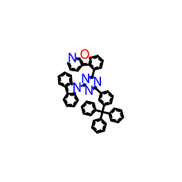 c1ccc(C(c2ccccc2)(c2ccccc2)c2cccc(-c3nc(-c4cccc5oc6ncccc6c45)nc(-n4c5ccccc5c5ccccc54)n3)c2)cc1